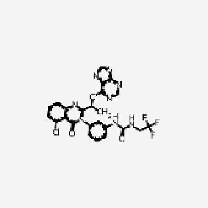 CC(Oc1ncnc2scnc12)c1nc2cccc(Cl)c2c(=O)n1-c1cccc(NC(=O)NCC(F)(F)F)c1